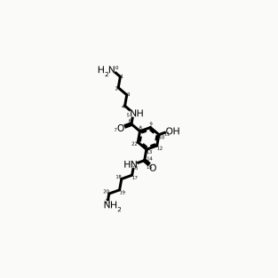 NCCCCNC(=O)c1cc(O)cc(C(=O)NCCCCN)c1